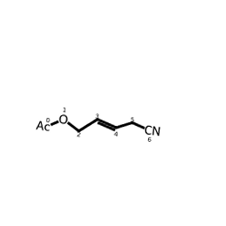 CC(=O)OC/C=C/CC#N